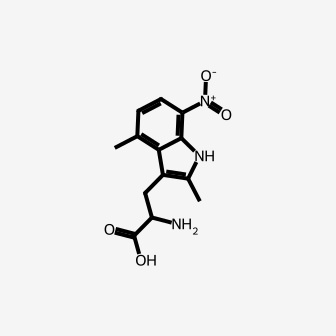 Cc1[nH]c2c([N+](=O)[O-])ccc(C)c2c1CC(N)C(=O)O